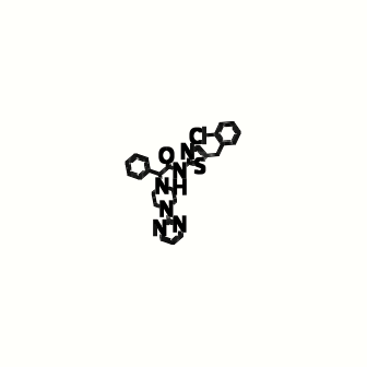 O=C(Nc1ncc(Cc2ccccc2Cl)s1)C(c1ccccc1)N1CCN(c2ncccn2)CC1